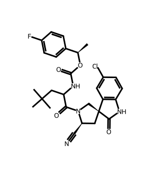 C[C@@H](OC(=O)NC(CC(C)(C)C)C(=O)N1C[C@]2(C[C@H]1C#N)C(=O)Nc1ccc(Cl)cc12)c1ccc(F)cc1